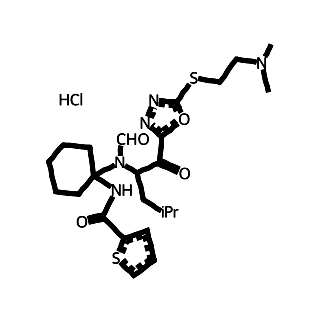 CC(C)CC(C(=O)c1nnc(SCCN(C)C)o1)N(C=O)C1(NC(=O)c2cccs2)CCCCC1.Cl